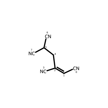 N#CC=C(C#N)CC(C#N)C#N